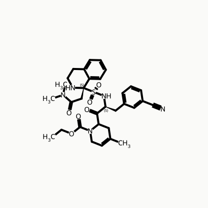 CCOC(=O)N1CC=C(C)CC1C(=O)[C@H](Cc1cccc(C#N)c1)NS(=O)(=O)[C@]1(CC(=O)N(C)C)NCCc2ccccc21